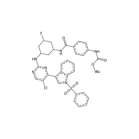 CC(C)(C)OC(=O)Nc1ccc(C(=O)NC2CC(F)CC(Nc3ncc(Cl)c(-c4cn(S(=O)(=O)c5ccccc5)c5ccccc45)n3)C2)cc1